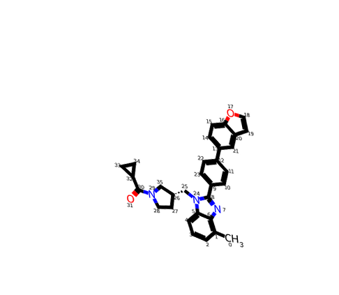 Cc1cccc2c1nc(-c1ccc(-c3ccc4occc4c3)cc1)n2C[C@@H]1CCN(C(=O)C2CC2)C1